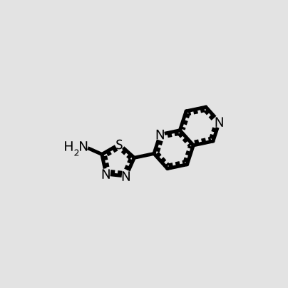 Nc1nnc(-c2ccc3cnccc3n2)s1